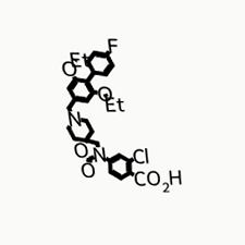 CCOc1cc(CN2CCC3(CC2)CN(c2ccc(C(=O)O)c(Cl)c2)C(=O)O3)cc(OCC)c1C1C=CC(F)=CC1